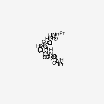 CCCNC(=O)Nc1cccc(S(=O)(=O)Nc2cccc([C@H](CC(=O)O)NC(=O)Nc3ccc(NC(=O)C(C)C)cc3)c2)c1